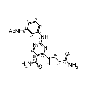 CC(=O)Nc1cccc(Nc2ncc(C(N)=O)c(NCCC(N)=O)n2)c1